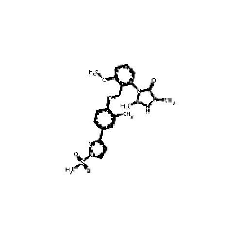 COc1cccc(N2C(=O)N(C)NN2C)c1COc1ccc(-c2ccn(S(C)(=O)=O)n2)cc1C